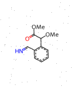 COC(=O)C(OC)c1ccccc1C=N